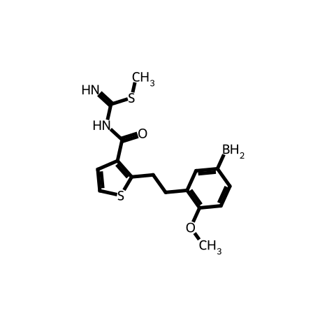 Bc1ccc(OC)c(CCc2sccc2C(=O)NC(=N)SC)c1